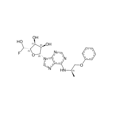 C[C@H](COc1ccccc1)Nc1ncnc2c1ncn2[C@@H]1O[C@H](C(O)F)[C@@H](O)[C@H]1O